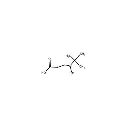 CC(C)(C)[S+]([O-])CCC(=O)O